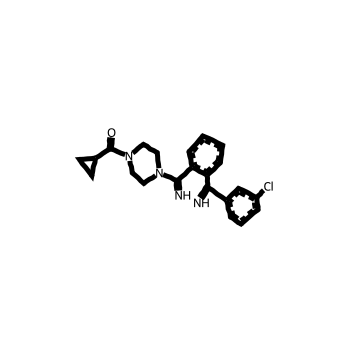 N=C(c1cccc(Cl)c1)c1ccccc1C(=N)N1CCN(C(=O)C2CC2)CC1